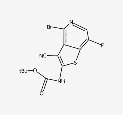 CC(C)(C)OC(=O)Nc1sc2c(F)cnc(Br)c2c1C#N